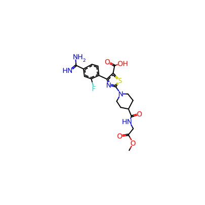 COC(=O)CNC(=O)C1CCN(c2nc(-c3ccc(C(=N)N)cc3F)c(C(=O)O)s2)CC1